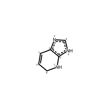 C1=Cc2nc[nH]c2NC1